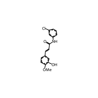 COc1ccc(C=CC(=O)Nc2cccc(Cl)c2)cc1O